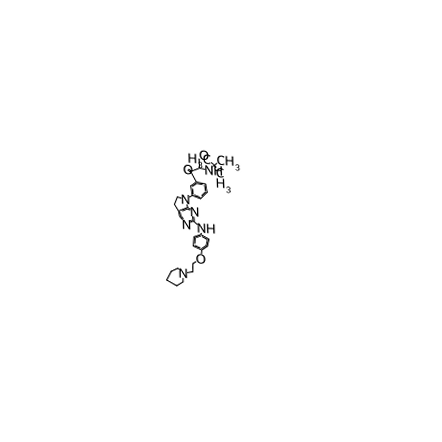 CC(C)(C)NC(C=O)C(=O)c1cccc(N2CCc3cnc(Nc4ccc(OCCN5CCCCC5)cc4)nc32)c1